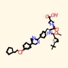 COC(N[C@@H](Cc1ccc(-c2ncc(-c3ccc(OCCC4CCCC4)cc3)cn2)cc1)C(=O)N1CC(C(=O)O)C1)c1ccc(C(C)(C)C)s1